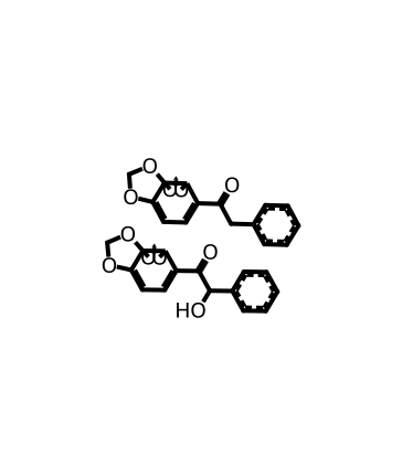 O=C(C1=CC=C2OCOC23OCOC13)C(O)c1ccccc1.O=C(Cc1ccccc1)C1=CC=C2OCOC23OCOC13